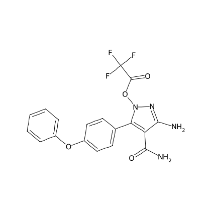 NC(=O)c1c(N)nn(OC(=O)C(F)(F)F)c1-c1ccc(Oc2ccccc2)cc1